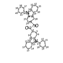 O=C(C(=O)c1ccc2c(c1)c1ccccc1n2-c1ccccc1)c1ccc2c(c1)c1ccccc1n2-c1ccccc1